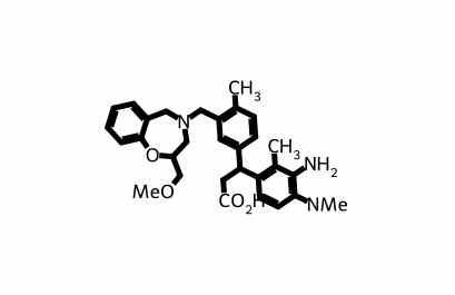 CNc1ccc(C(CC(=O)O)c2ccc(C)c(CN3Cc4ccccc4OC(COC)C3)c2)c(C)c1N